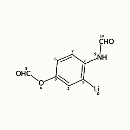 [Li][c]1cc(OC=O)ccc1NC=O